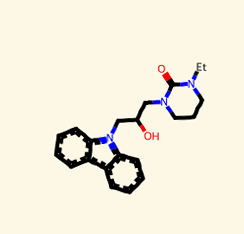 CCN1CCCN(CC(O)Cn2c3ccccc3c3ccccc32)C1=O